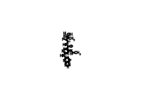 CCNc1cc(Nc2ccc3ncsc3n2)ncc1C(=O)NC[C@@H](F)C(C)(C)O